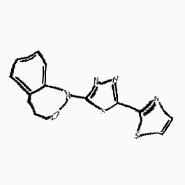 c1ccc2c(c1)CON2c1nnc(-c2nccs2)s1